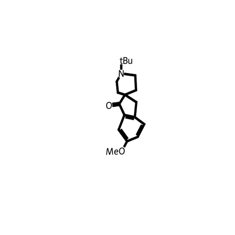 COc1ccc2c(c1)C(=O)C1(CCN(C(C)(C)C)CC1)C2